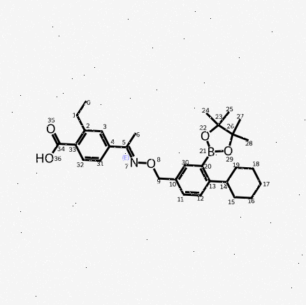 CCc1cc(/C(C)=N/OCc2ccc(C3CCCCC3)c(B3OC(C)(C)C(C)(C)O3)c2)ccc1C(=O)O